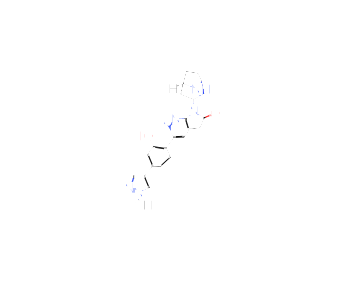 Cn1cc(-c2ccc(-c3cc4c(nn3)N([C@@H]3CC5CC[C@@H](C3)N5)C(=O)C4)c(O)c2)cn1